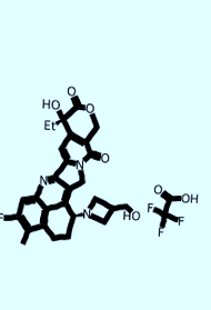 CC[C@@]1(O)C(=O)OCc2c1cc1n(c2=O)Cc2c-1nc1cc(F)c(C)c3c1c2[C@@H](N1CC(CO)C1)CC3.O=C(O)C(F)(F)F